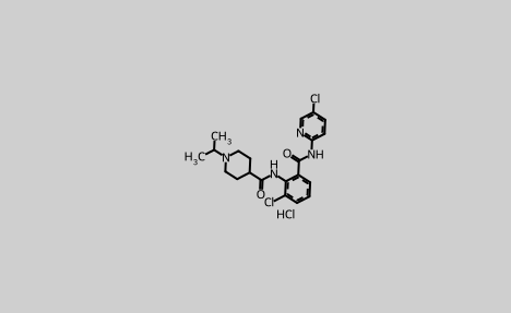 CC(C)N1CCC(C(=O)Nc2c(Cl)cccc2C(=O)Nc2ccc(Cl)cn2)CC1.Cl